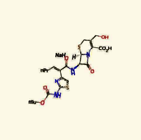 CCC/C=C(/C(=O)N[C@@H]1C(=O)N2C(C(=O)O)=C(CO)CS[C@H]12)c1csc(NC(=O)OC(C)(C)C)n1.[NaH]